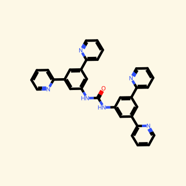 O=C(Nc1cc(-c2ccccn2)cc(-c2ccccn2)c1)Nc1cc(-c2ccccn2)cc(-c2ccccn2)c1